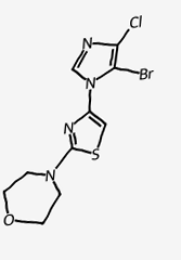 Clc1ncn(-c2csc(N3CCOCC3)n2)c1Br